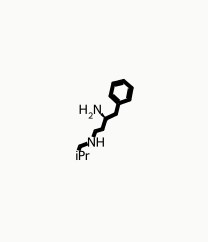 CC(C)CNCC[C@@H](N)Cc1ccccc1